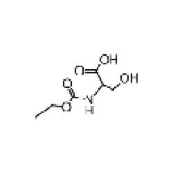 CCOC(=O)NC(CO)C(=O)O